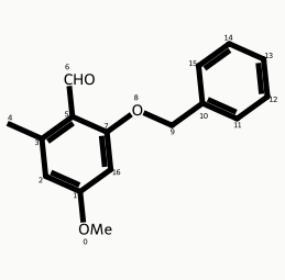 COc1cc(C)c(C=O)c(OCc2ccccc2)c1